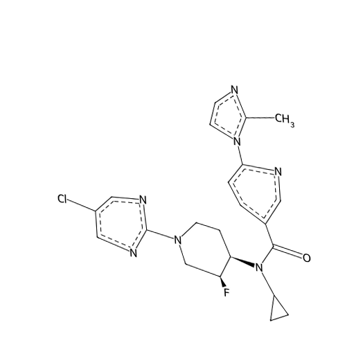 Cc1nccn1-c1ccc(C(=O)N(C2CC2)[C@@H]2CCN(c3ncc(Cl)cn3)C[C@@H]2F)cn1